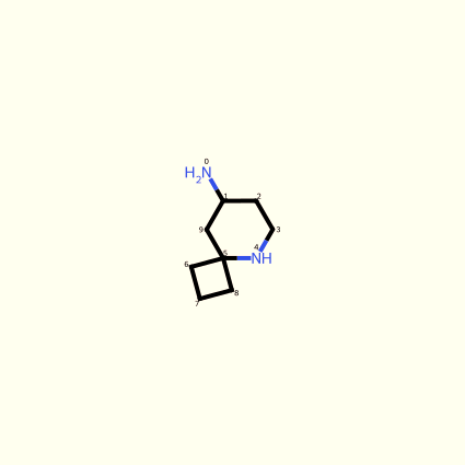 NC1CCNC2(CCC2)C1